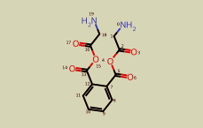 NCC(=O)OC(=O)c1ccccc1C(=O)OC(=O)CN